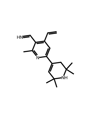 C=Cc1cc(C2=CC(C)(C)NC(C)(C)C2)nc(C)c1C=N